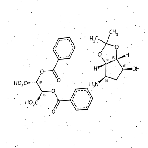 CC1(C)O[C@@H]2[C@H](O1)[C@@H](O)C[C@H]2N.O=C(O[C@@H](C(=O)O)[C@@H](OC(=O)c1ccccc1)C(=O)O)c1ccccc1